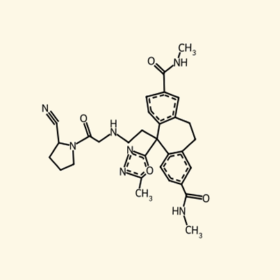 CNC(=O)c1ccc2c(c1)CCc1cc(C(=O)NC)ccc1C2(CCNCC(=O)N1CCCC1C#N)c1nnc(C)o1